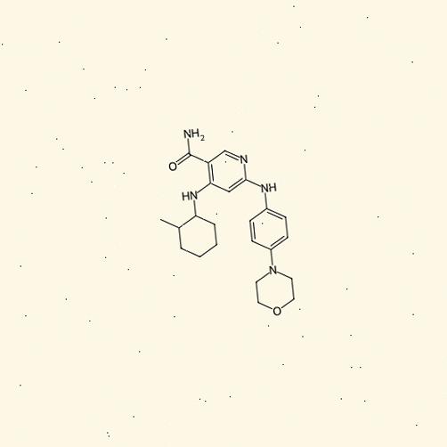 CC1CCCCC1Nc1cc(Nc2ccc(N3CCOCC3)cc2)ncc1C(N)=O